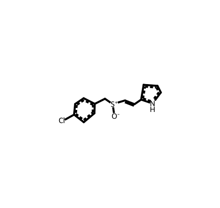 [O-][S+](C=Cc1ccc[nH]1)Cc1ccc(Cl)cc1